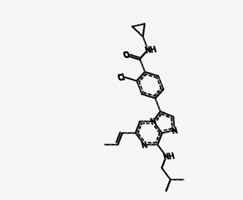 C/C=C/c1cn2c(-c3ccc(C(=O)NC4CC4)c(Cl)c3)cnc2c(NCC(C)C)n1